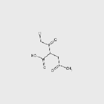 CC(=O)CC(C(=O)O)C(=O)CCl